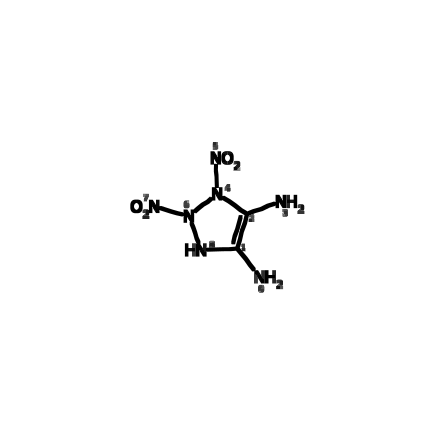 NC1=C(N)N([N+](=O)[O-])N([N+](=O)[O-])N1